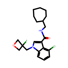 O=C(NCC1CCCCCC1)c1cn(CC2(F)COC2)c2cccc(Cl)c12